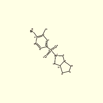 Cc1cc(S(=O)(=O)N2CC3CCCC3C2)ccc1Br